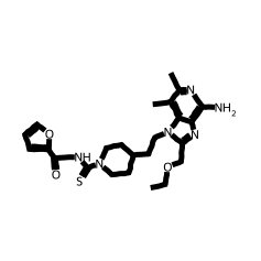 CCOCc1nc2c(N)nc(C)c(C)c2n1CCC1CCN(C(=S)NC(=O)c2ccco2)CC1